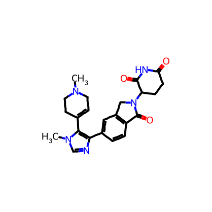 CN1CC=C(c2c(-c3ccc4c(c3)CN(C3CCC(=O)NC3=O)C4=O)ncn2C)CC1